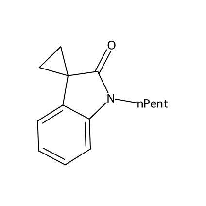 CCCCCN1C(=O)C2(CC2)c2ccccc21